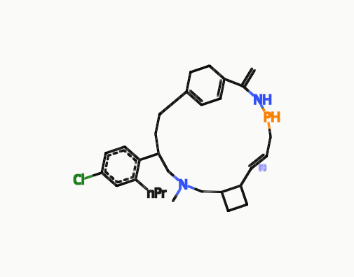 C=C1NPC/C=C/C2CCC2CN(C)CC(c2ccc(Cl)cc2CCC)CCC2=CC=C1CC2